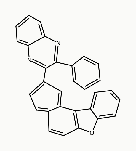 c1ccc(-c2nc3ccccc3nc2-c2ccc3ccc4oc5ccccc5c4c3c2)cc1